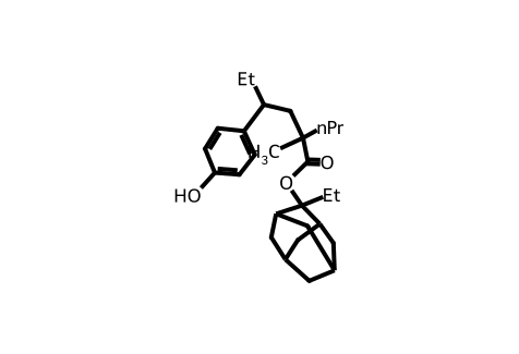 CCCC(C)(CC(CC)c1ccc(O)cc1)C(=O)OC1(CC)C2CC3CC(C2)CC1C3